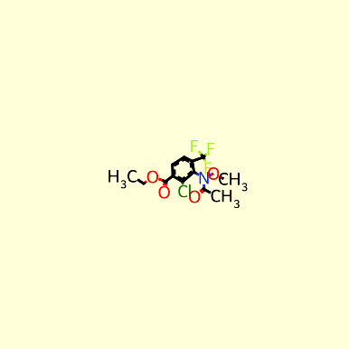 CCOC(=O)c1ccc(C(F)(F)F)c(N(OC)C(C)=O)c1Cl